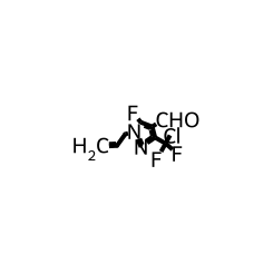 C=CCn1nc(C(F)(F)Cl)c(C=O)c1F